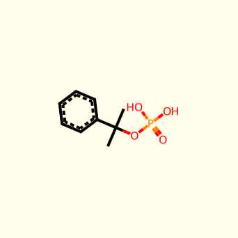 CC(C)(OP(=O)(O)O)c1ccccc1